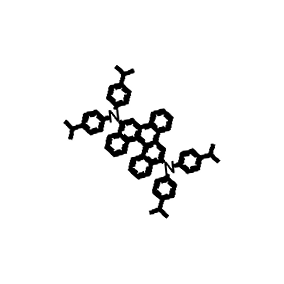 CC(C)c1ccc(N(c2ccc(C(C)C)cc2)c2cc3c4ccccc4c4cc(N(c5ccc(C(C)C)cc5)c5ccc(C(C)C)cc5)c5ccccc5c4c3c3ccccc23)cc1